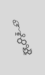 O=C(NCCCN1CCOCC1)c1cccc2cc(Oc3ncnc4ccsc34)ccc12